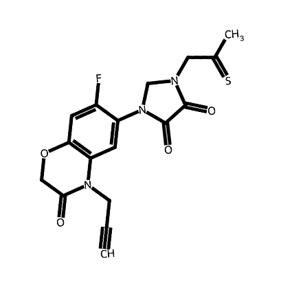 C#CCN1C(=O)COc2cc(F)c(N3CN(CC(C)=S)C(=O)C3=O)cc21